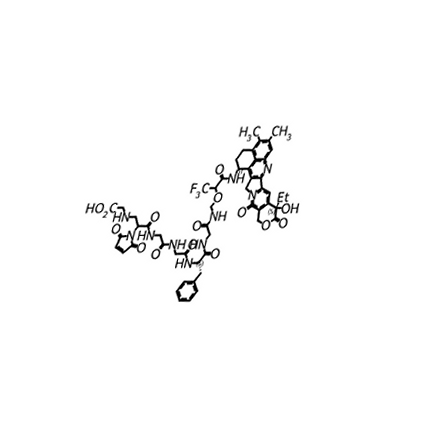 CC[C@@]1(O)C(=O)OCc2c1cc1n(c2=O)Cc2c-1nc1cc(C)c(C)c3c1c2[C@@H](NC(=O)C(OCNC(=O)CNC(=O)[C@H](Cc1ccccc1)NC(=O)CNC(=O)CNC(=O)C(CNCC(=O)O)N1C(=O)C=CC1=O)C(F)(F)F)CC3